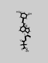 C=C(/C=C/C(=O)C(C)(C)C(=O)OC(C)C)[C@H]1CC[C@H]2/C(=C/C=C3C[C@@H](O)C[C@H](O)C3)CCC[C@]12C